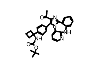 CC(=O)c1nc2n(c1-c1ccc(C3(NC(=O)OC(C)(C)C)CCC3)cc1)-c1cccnc1Nc1ccccc1-2